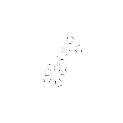 CC1(C)c2cccc3c4ccccc4c4cccc5c4c4c(c1ccc4n5-c1ccc4nc(-c5ccccc5)c(-c5ccccc5)nc4c1)c23